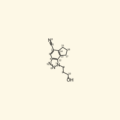 N#Cc1cc2nnn(CCCO)c2c2c1CCC2